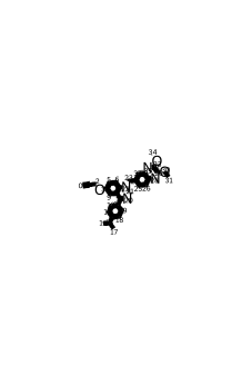 C#CCOc1ccc2c(c1)C(c1ccc(C(C)C)cc1)=NCN2Cc1ccc2nc(OC)c(OC)nc2c1